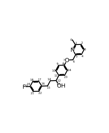 Cc1cccc(COc2ccc(C(O)CCc3ccc(F)cc3)cc2)n1